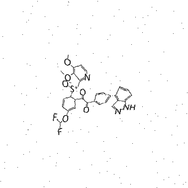 COc1ccnc(C[S+]([O-])C2C=CC(OC(F)F)=CC2C(=O)C(=O)c2ccccc2)c1OC.c1ccc2[nH]ncc2c1